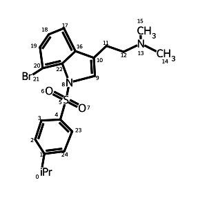 CC(C)c1ccc(S(=O)(=O)n2cc(CCN(C)C)c3cccc(Br)c32)cc1